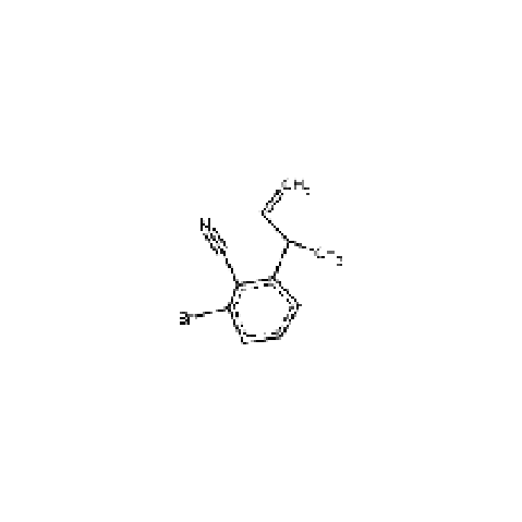 C=C[C](C)c1cccc(Br)c1C#N